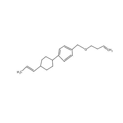 C=CCCOCc1ccc(C2CCC(/C=C/C)CC2)cc1